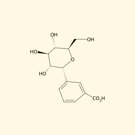 O=C(O)c1cccc([C@H]2O[C@H](CO)[C@@H](O)[C@H](O)[C@H]2O)c1